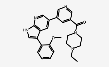 CCN1CCN(C(=O)c2cncc(-c3cnc4[nH]cc(-c5ccccc5OC)c4c3)c2)CC1